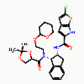 CC1(C)OCC(C(=O)N(CCOC2CCCCO2)[C@H]2c3ccccc3C[C@H]2NC(=O)c2cc3cc(Cl)sc3[nH]2)O1